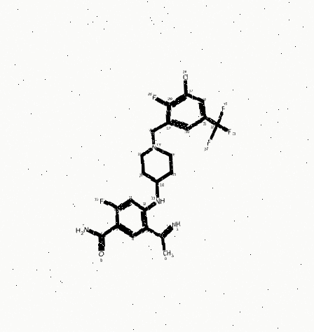 CC(=N)c1cc(C(N)=O)c(F)cc1NC1CCN(Cc2cc(C(F)(F)F)cc(Cl)c2F)CC1